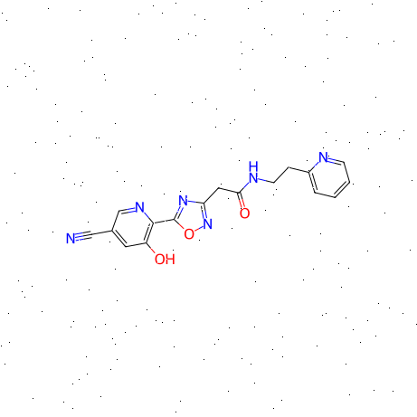 N#Cc1cnc(-c2nc(CC(=O)NCCc3ccccn3)no2)c(O)c1